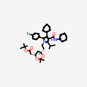 CC(C)c1c(C(=O)Nc2ccccc2)c(-c2ccccc2)c(-c2ccc(F)cc2)n1CC[C@H]1C[C@@H](CC(=O)OC(C)(C)C)OC(C)(C)O1